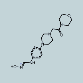 O=C(CN1CCN(c2ccc(N/C=N/O)cc2)CC1)N1CCOCC1